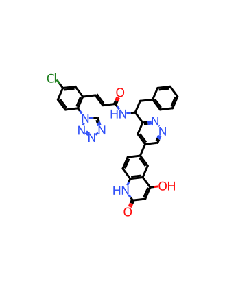 O=C(C=Cc1cc(Cl)ccc1-n1cnnn1)NC(Cc1ccccc1)c1cc(-c2ccc3[nH]c(=O)cc(O)c3c2)cnn1